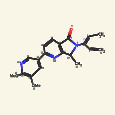 C=C/C(=C\C)N1C(=O)c2ccc(-c3cnc(OC)c(OC)c3)nc2C1C